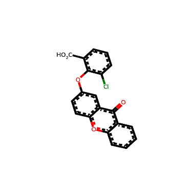 O=C(O)c1cccc(Cl)c1Oc1ccc2oc3ccccc3c(=O)c2c1